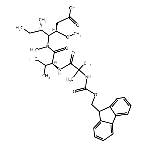 CC[C@H](C)C([C@@H](CC(=O)O)OC)N(C)C(=O)[C@@H](NC(=O)C(C)(C)NC(=O)OCC1c2ccccc2-c2ccccc21)C(C)C